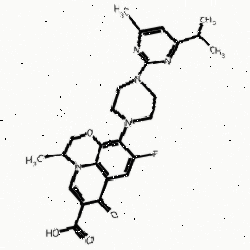 Cc1cc(C(C)C)nc(N2CCN(c3c(F)cc4c(=O)c(C(=O)O)cn5c4c3OC[C@@H]5C)CC2)n1